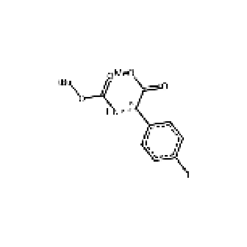 COC(=O)[C@@H](NC(=O)OC(C)(C)C)c1ccc(I)cc1